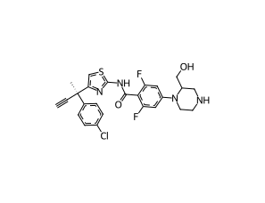 C#C[C@](C)(c1ccc(Cl)cc1)c1csc(NC(=O)c2c(F)cc(N3CCNCC3CO)cc2F)n1